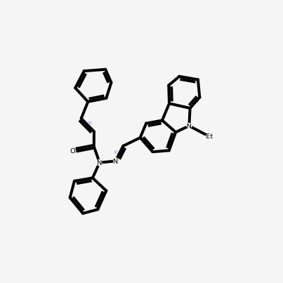 CCn1c2ccccc2c2cc(/C=N/N(C(=O)/C=C/c3ccccc3)c3ccccc3)ccc21